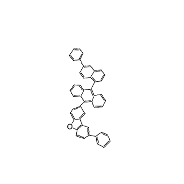 c1ccc(-c2ccc3c(-c4c5ccccc5c(-c5ccc6oc7ccc(-c8ccccc8)cc7c6c5)c5ccccc45)cccc3c2)cc1